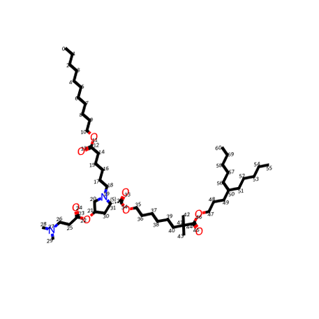 CCCCCCCCCCCOC(=O)CCCCCN1CC(OC(=O)CCN(C)C)C[C@H]1C(=O)OCCCCCCC(C)(C)C(=O)OCCCC(CCCCC)CCCCC